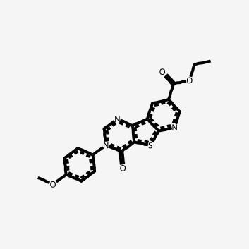 CCOC(=O)c1cnc2sc3c(=O)n(-c4ccc(OC)cc4)cnc3c2c1